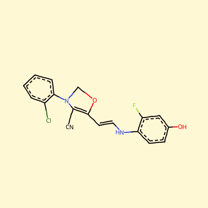 N#CC1=C(C=CNc2ccc(O)cc2F)OCN1c1ccccc1Cl